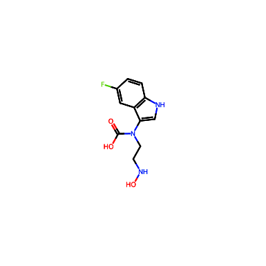 O=C(O)N(CCNO)c1c[nH]c2ccc(F)cc12